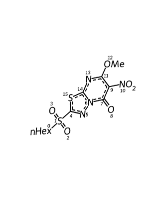 CCCCCCS(=O)(=O)c1nn2c(=O)c([N+](=O)[O-])c(OC)nc2s1